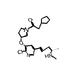 CN[C@@H](C)C/C=C/c1cnc(Cl)c(O[C@H]2CCN(C(=O)CC3CCCC3)C2)c1